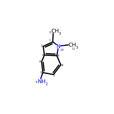 Cc1cc2cc(N)ccc2n1C